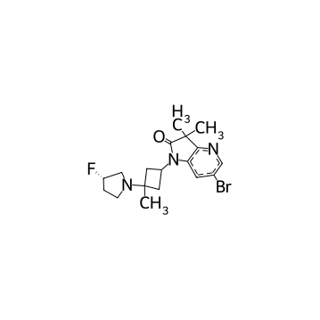 CC1(C)C(=O)N(C2CC(C)(N3CC[C@H](F)C3)C2)c2cc(Br)cnc21